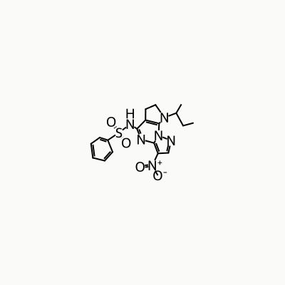 CCC(C)N1CCc2c(NS(=O)(=O)c3ccccc3)nc3c([N+](=O)[O-])cnn3c21